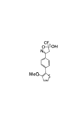 COc1ccsc1-c1ccc(C2=NOC(O)(C(F)(F)F)C2)cc1